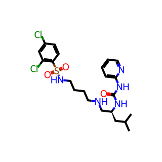 CC(C)C[C@@H](CNCCCCNS(=O)(=O)c1ccc(Cl)cc1Cl)NC(=O)Nc1ccccn1